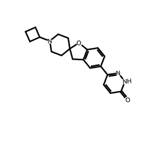 O=c1ccc(-c2ccc3c(c2)CC2(CCN(C4CCC4)CC2)O3)n[nH]1